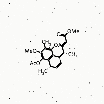 COC(=O)/C=C/[C@H](C)[C@H]1C=C[C@H](C)c2c(OC(C)=O)c(OC)c(C)c(OC(C)=O)c21